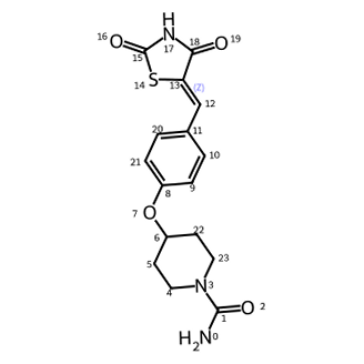 NC(=O)N1CCC(Oc2ccc(/C=C3\SC(=O)NC3=O)cc2)CC1